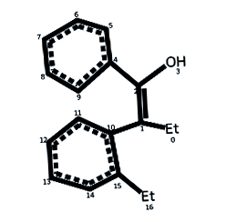 CCC(=C(O)c1ccccc1)c1ccccc1CC